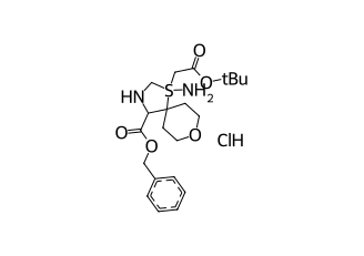 CC(C)(C)OC(=O)CS1(N)CNC(C(=O)OCc2ccccc2)C12CCOCC2.Cl